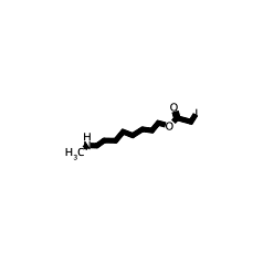 CNCCCCCCCCOC(=O)CI